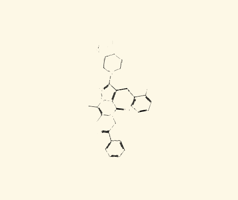 Cc1c(C)n2nc(N3CCC[C@@H](NC(=O)O)C3)c(Cc3ccccc3Cl)c2c(=O)n1CC(=O)c1ccccc1